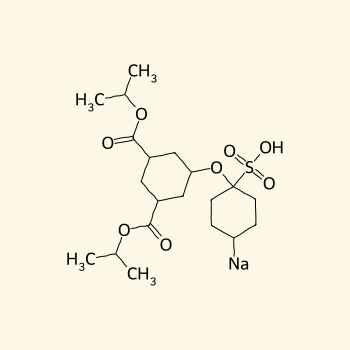 CC(C)OC(=O)C1CC(OC2(S(=O)(=O)O)CC[CH]([Na])CC2)CC(C(=O)OC(C)C)C1